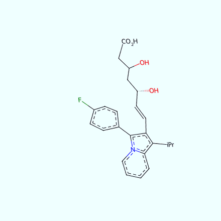 CC(C)c1c(/C=C/[C@@H](O)CC(O)CC(=O)O)c(-c2ccc(F)cc2)n2ccccc12